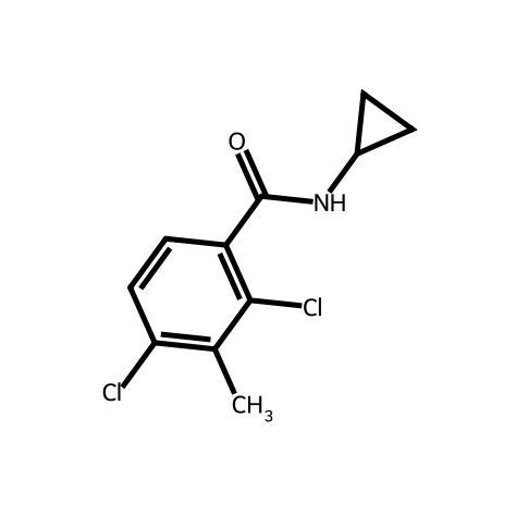 Cc1c(Cl)ccc(C(=O)NC2CC2)c1Cl